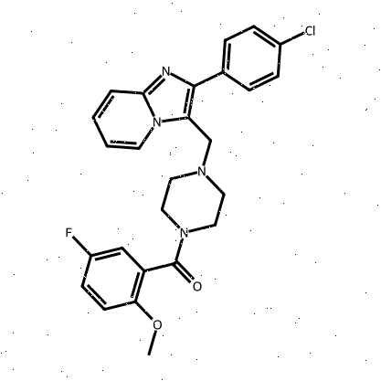 COc1ccc(F)cc1C(=O)N1CCN(Cc2c(-c3ccc(Cl)cc3)nc3ccccn23)CC1